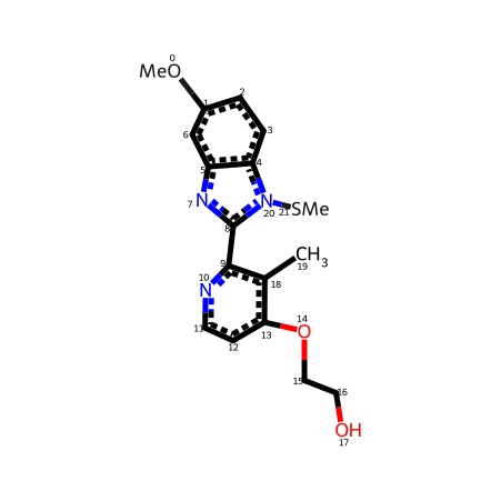 COc1ccc2c(c1)nc(-c1nccc(OCCO)c1C)n2SC